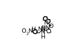 N[C@H](Cc1ccc([N+](=O)[O-])cc1)NC(=O)C1CCCCC1NC(=O)c1ccc2ccccc2n1